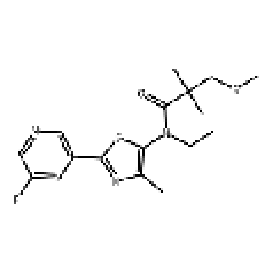 CCN(C(=O)C(C)(C)CSC)c1sc(-c2cncc(F)c2)nc1C